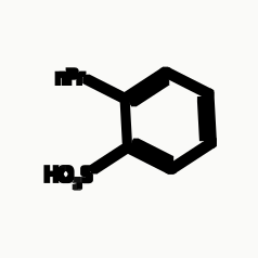 CCCc1ccccc1S(=O)(=O)O